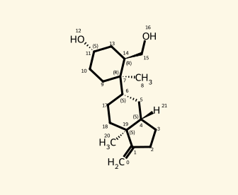 C=C1CC[C@H]2C[C@@H]([C@@]3(C)CC[C@H](O)C[C@H]3CO)CC[C@]12C